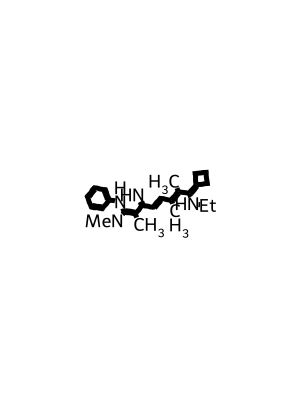 CCNC(=C1CCC1)/C(C)=C(C)/C=C/C(=N)/C(C)=C(/NC)Nc1ccccc1